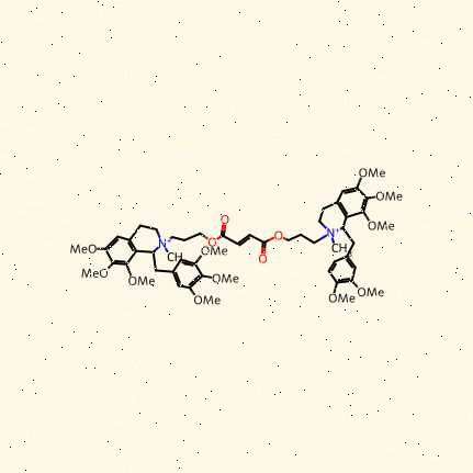 COc1ccc(CC2c3c(cc(OC)c(OC)c3OC)CC[N+]2(C)CCCOC(=O)/C=C/C(=O)OCCC[N+]2(C)CCc3cc(OC)c(OC)c(OC)c3C2Cc2cc(OC)c(OC)c(OC)c2)cc1OC